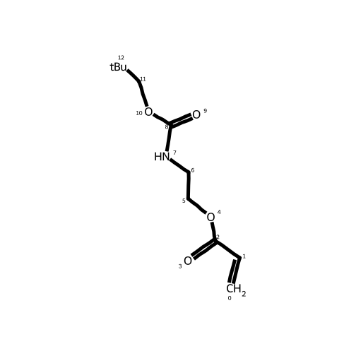 C=CC(=O)OCCNC(=O)OCC(C)(C)C